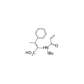 C=CC(=O)NC(C)(C)C.CC(C(=O)O)=C(C)c1ccccc1